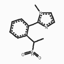 CC(c1ccccc1-c1nccn1C)[SH](=O)=O